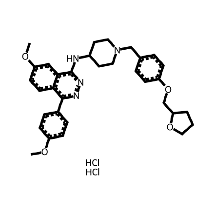 COc1ccc(-c2nnc(NC3CCN(Cc4ccc(OCC5CCCO5)cc4)CC3)c3cc(OC)ccc23)cc1.Cl.Cl